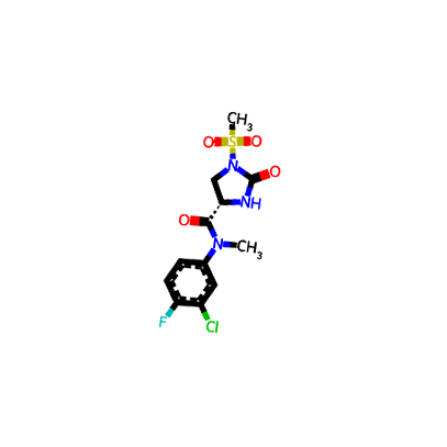 CN(C(=O)[C@@H]1CN(S(C)(=O)=O)C(=O)N1)c1ccc(F)c(Cl)c1